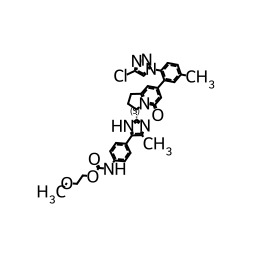 COCCOC(=O)Nc1ccc(-c2[nH]c([C@@H]3CCc4cc(-c5cc(C)ccc5-n5cc(Cl)nn5)cc(=O)n43)nc2C)cc1